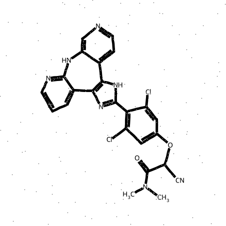 CN(C)C(=O)C(C#N)Oc1cc(Cl)c(-c2nc3c([nH]2)-c2ccncc2Nc2ncccc2-3)c(Cl)c1